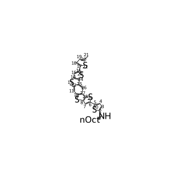 CCCCCCCCNc1ccc(-c2cc3sc4cc5sc6cc(-c7ccc(C)s7)sc6c5cc4c3s2)s1